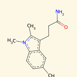 Cc1ccc2c(c1)c(CCC(N)=O)c(C)n2C